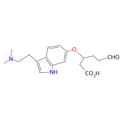 CN(C)CCc1c[nH]c2cc(OC(CCC=O)CC(=O)O)ccc12